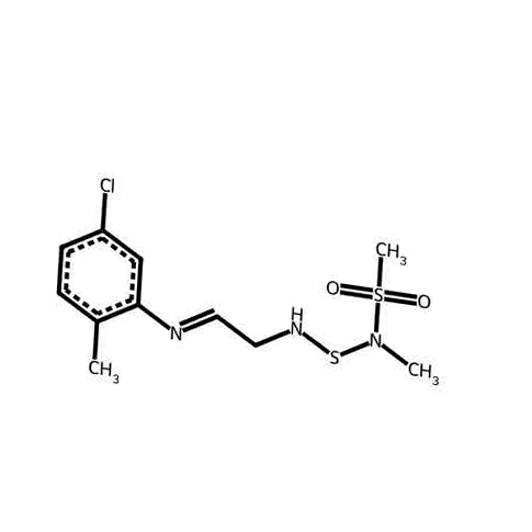 Cc1ccc(Cl)cc1N=CCNSN(C)S(C)(=O)=O